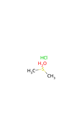 CSC.Cl.O